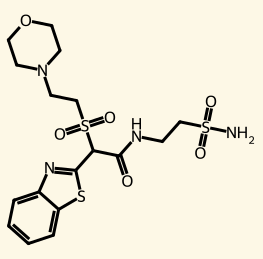 NS(=O)(=O)CCNC(=O)C(c1nc2ccccc2s1)S(=O)(=O)CCN1CCOCC1